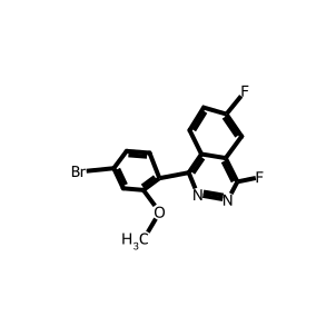 COc1cc(Br)ccc1-c1nnc(F)c2cc(F)ccc12